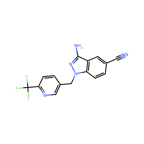 N#Cc1ccc2c(c1)c(N)nn2Cc1ccc(C(F)(F)F)nc1